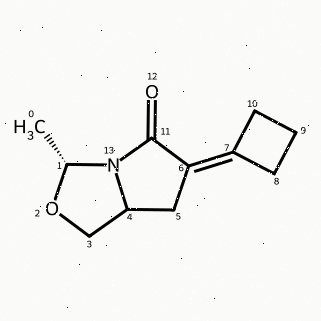 C[C@H]1OCC2CC(=C3CCC3)C(=O)N21